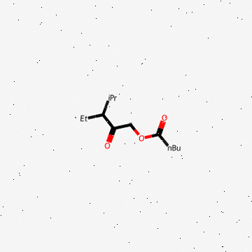 CCCCC(=O)O[C]C(=O)C(CC)C(C)C